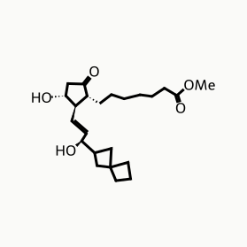 COC(=O)CCCCCC[C@H]1C(=O)C[C@@H](O)[C@@H]1/C=C/[C@H](O)C1CC2(CCC2)C1